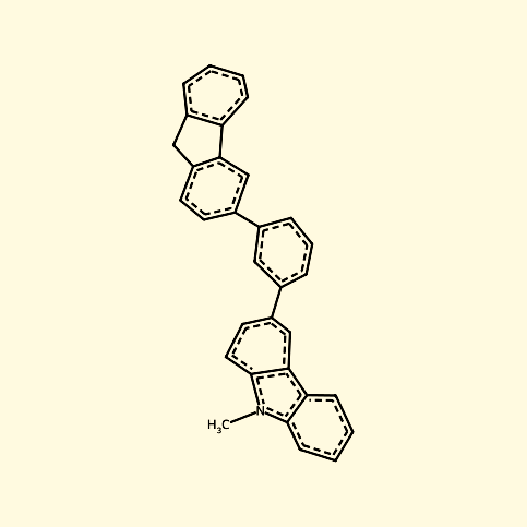 Cn1c2ccccc2c2cc(-c3cccc(-c4ccc5c(c4)-c4ccccc4C5)c3)ccc21